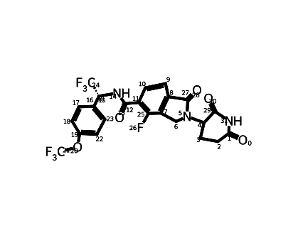 O=C1CCC(N2Cc3c(ccc(C(=O)N[C@H](c4ccc(OC(F)(F)F)cc4)C(F)(F)F)c3F)C2=O)C(=O)N1